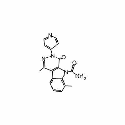 Cc1nn(-c2ccncc2)c(=O)c2c1c1cccc(C)c1n2C(N)=O